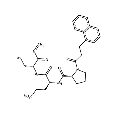 C=NC(=O)[C@@H](CC(C)C)NC(=O)[C@H](CCC(=O)O)NC(=O)[C@@H]1CCCN1C(=O)CCc1cccc2ccccc12